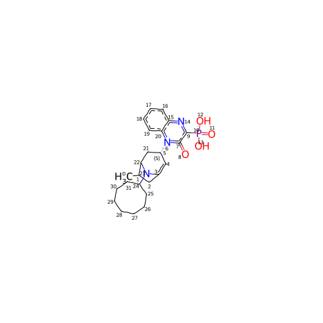 CC1CC2=C[C@@H](n3c(=O)c(P(=O)(O)O)nc4ccccc43)CC1N2C1CCCCCCC1